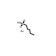 CCCCCS(=O)(=O)O.[Au]